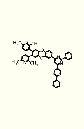 Cc1ccc(-c2cc3c(cc2-c2ccc(C)nc2C)Oc2cc(-c4cc(-c5ccc(-c6ccccc6)cc5)nc(-c5ccccc5)n4)ccc2O3)c(C)n1